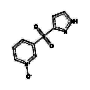 O=S(=O)(c1ccc[n+]([O-])c1)c1cc[nH]n1